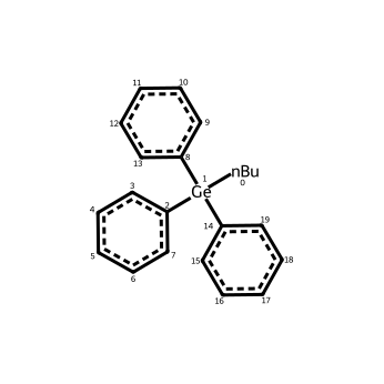 CCC[CH2][Ge]([c]1ccccc1)([c]1ccccc1)[c]1ccccc1